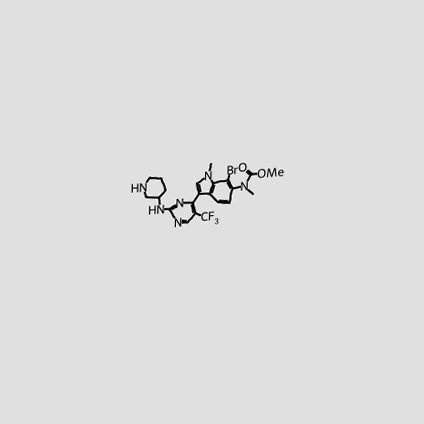 COC(=O)N(C)c1ccc2c(-c3nc(NC4CCCNC4)ncc3C(F)(F)F)cn(C)c2c1Br